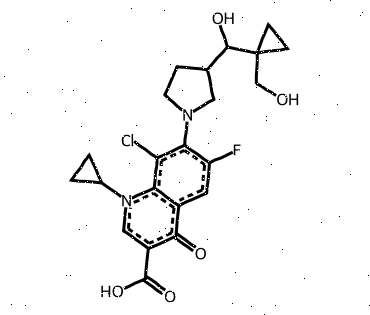 O=C(O)c1cn(C2CC2)c2c(Cl)c(N3CCC(C(O)C4(CO)CC4)C3)c(F)cc2c1=O